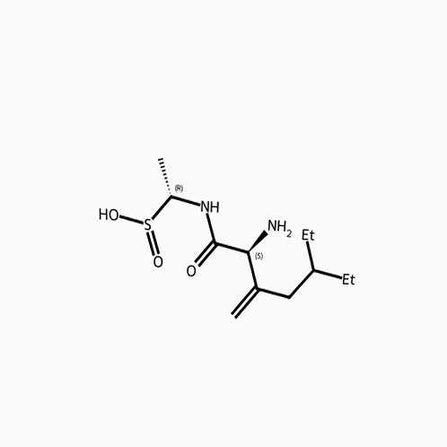 C=C(CC(CC)CC)[C@H](N)C(=O)N[C@@H](C)S(=O)O